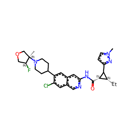 CC[C@H]1C(c2ccn(C)n2)[C@H]1C(=O)Nc1cc2cc(C3CCN([C@]4(C)COC[C@@H]4F)CC3)c(Cl)cc2cn1